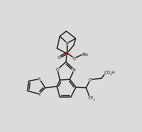 CC(C)(C)OC(=O)N1C2CC1CN(c1nc3c(C(OCC(=O)O)C(F)(F)F)ccc(-c4nccs4)c3o1)C2